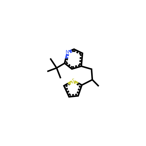 CC(Cc1ccnc(C(C)(C)C)c1)c1cccs1